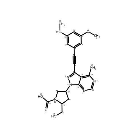 COc1cc(C#Cc2nn(C3CC(CO)N(C(=O)O)C3)c3ncnc(N)c23)cc(OC)c1